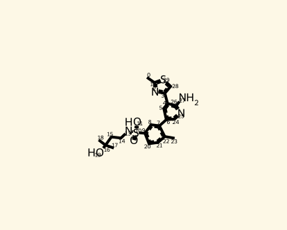 Cc1nc(-c2cc(-c3cc(S(=O)(=O)NCCC(C)(C)O)ccc3C)cnc2N)cs1